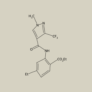 CCOC(=O)c1ccc(CC)cc1NC(=O)c1cn(C)nc1C(F)(F)F